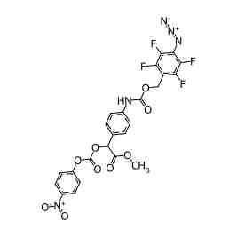 COC(=O)C(OC(=O)Oc1ccc([N+](=O)[O-])cc1)c1ccc(NC(=O)OCc2c(F)c(F)c(N=[N+]=[N-])c(F)c2F)cc1